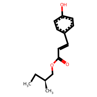 CC[C@H](C)COC(=O)C=Cc1ccc(O)cc1